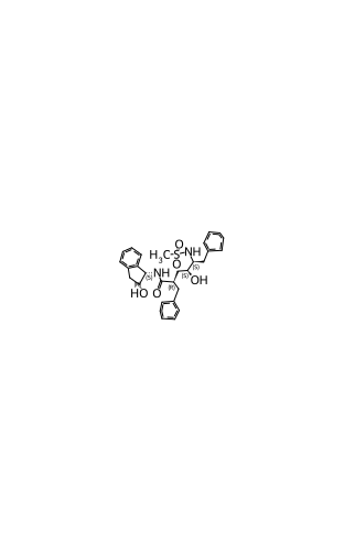 CS(=O)(=O)N[C@@H](Cc1ccccc1)[C@@H](O)C[C@@H](Cc1ccccc1)C(=O)N[C@H]1c2ccccc2C[C@H]1O